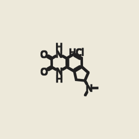 CN(C)C1Cc2ccc3[nH]c(=O)c(=O)[nH]c3c2C1.Cl